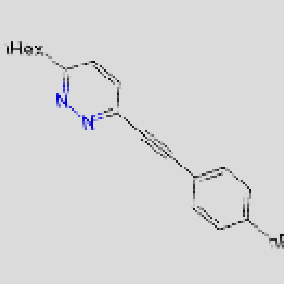 CCCCCCc1ccc(C#Cc2ccc(CCCCC)cc2)nn1